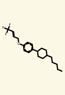 CCCCCC1CCC(c2ccc(OCC=CC(F)(F)F)cc2)CC1